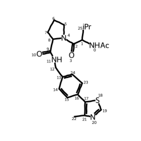 CC(=O)NC(C(=O)N1CCCC1C(=O)NCc1ccc(-c2scnc2C)cc1)C(C)C